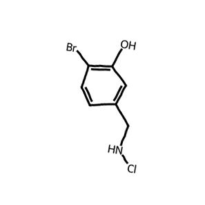 Oc1cc(CNCl)ccc1Br